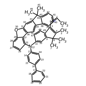 C/C=C\C1=C(C)C(C)(C)c2cc(N(c3ccc(-c4ccccc4)cc3)c3cccc4oc5cc6c(cc5c34)-c3ccccc3C6(C)C)ccc21